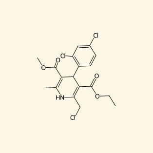 CCOC(=O)C1=C(CCl)NC(C)=C(C(=O)OC)C1c1ccc(Cl)cc1Cl